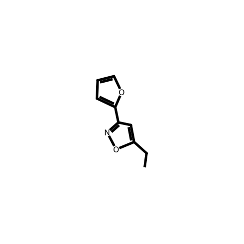 CCc1cc(-c2ccco2)no1